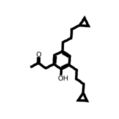 CC(=O)Cc1cc(CCCC2CC2)cc(CCCC2CC2)c1O